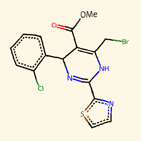 COC(=O)C1=C(CBr)NC(c2nccs2)=NC1c1ccccc1Cl